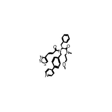 COCCN(C)C(=O)[C@H](Cc1ccccc1)N(Cc1ccc(-c2ccncc2)cc1)C(=O)/C=C/c1csnn1